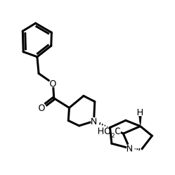 O=C(OCc1ccccc1)C1CCN([C@@H]2C[C@@H]3CC[N@](C2)C3C(=O)O)CC1